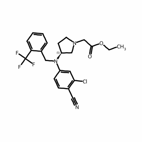 CCOC(=O)CN1CC[C@H](N(Cc2ccccc2C(F)(F)F)c2ccc(C#N)c(Cl)c2)C1